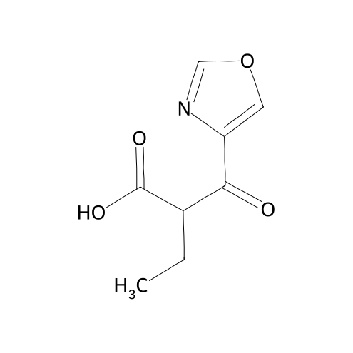 CCC(C(=O)O)C(=O)c1cocn1